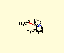 C=C(OCC)c1ncccc1C